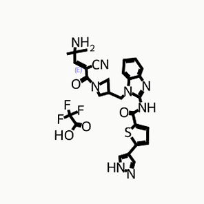 CC(C)(N)/C=C(\C#N)C(=O)N1CC(Cn2c(NC(=O)c3ccc(-c4cn[nH]c4)s3)nc3ccccc32)C1.O=C(O)C(F)(F)F